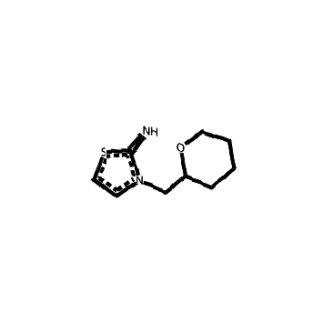 N=c1sccn1CC1CCCCO1